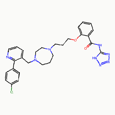 O=C(Nc1nnn[nH]1)c1ccccc1OCCCN1CCCN(Cc2cccnc2-c2ccc(Cl)cc2)CC1